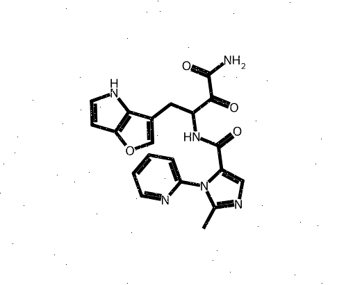 Cc1ncc(C(=O)NC(Cc2coc3cc[nH]c23)C(=O)C(N)=O)n1-c1ccccn1